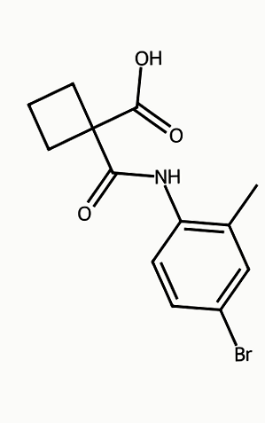 Cc1cc(Br)ccc1NC(=O)C1(C(=O)O)CCC1